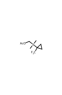 CC(=O)OC[Si](C)(C)C1(C(F)(F)F)CC1